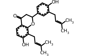 CC(C)=CCc1cc(C2CC(=O)c3ccc(O)c(CC=C(C)C)c3O2)ccc1O